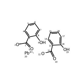 O=C([O-])c1ccccc1O.O=C([O-])c1ccccc1O.[Pb+2]